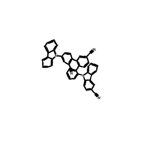 N#Cc1ccc(-c2ccccc2-n2c3ccccc3c3cc(C#N)ccc32)c(-c2ccc(-n3c4ccccc4c4ccccc43)cc2C#N)c1